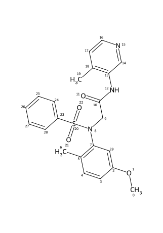 COc1ccc(C)c(N(CC(=O)Nc2cnccc2C)S(=O)(=O)c2ccccc2)c1